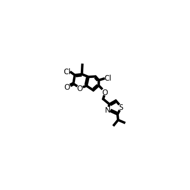 Cc1c(Cl)c(=O)oc2cc(OCc3csc(C(C)C)n3)c(Cl)cc12